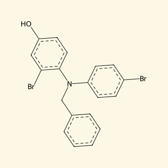 Oc1ccc(N(Cc2ccccc2)c2ccc(Br)cc2)c(Br)c1